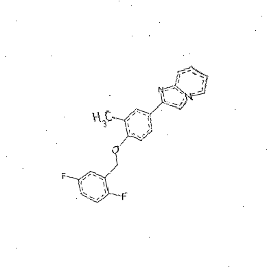 Cc1cc(-c2cn3ccccc3n2)ccc1OCc1cc(F)ccc1F